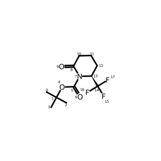 CC(C)(C)OC(=O)N1C(=O)CCC[C@H]1C(F)(F)F